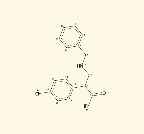 CC(C)C(=O)C(CNCc1ccccc1)c1ccc(Cl)cc1